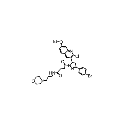 CCOc1ccc2cc(C3CC(c4ccc(Br)cc4)=NN3C(=O)CCC(=O)NCCCN3CCOCC3)c(Cl)nc2c1